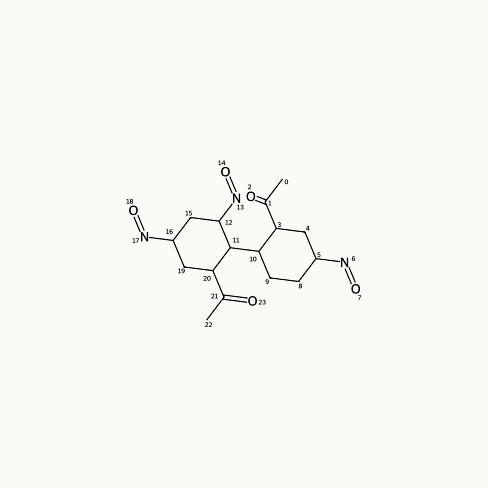 CC(=O)C1CC(N=O)CCC1C1C(N=O)CC(N=O)CC1C(C)=O